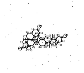 C[C@]12CC[C@@H]3[C@@H](CCC4=C(C5=CC(=O)CC6CC[C@@H]7[C@@H](CC[C@]8(C)CC(=O)C[C@@H]78)[C@@]56C)C(=O)CC[C@@]43C)[C@@H]1CC(=O)C2